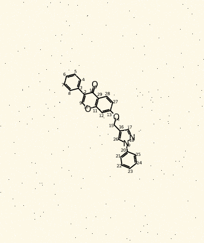 O=c1c(-c2ccccc2)coc2cc(OCc3cnn(-c4ccccc4)c3)ccc12